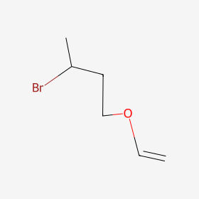 C=COCCC(C)Br